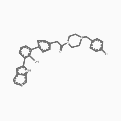 O=C(Cc1ccc(-c2cccc(-c3cc4ccncc4[nH]3)c2O)cc1)N1CCN(Cc2ccc(Cl)cc2)CC1